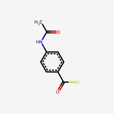 CC(=O)Nc1ccc(C(=O)S)cc1